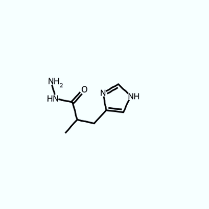 CC(Cc1c[nH]cn1)C(=O)NN